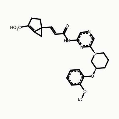 CCOc1ccccc1O[C@@H]1CCCN(c2cncc(NC(=O)/C=C/C34CCC(C(=O)O)=C3C4)n2)C1